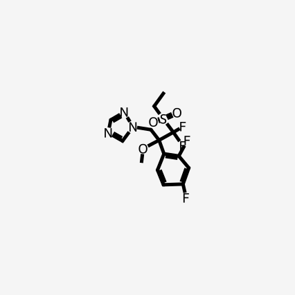 CCS(=O)(=O)C(F)(F)C(Cn1cncn1)(OC)c1ccc(F)cc1F